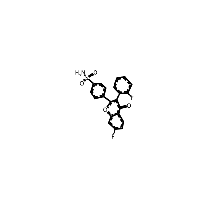 NS(=O)(=O)c1ccc(-c2oc3cc(F)ccc3c(=O)c2-c2ccccc2F)cc1